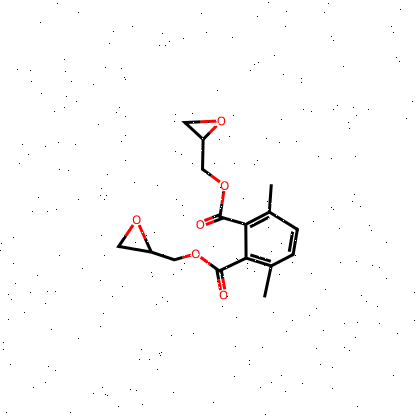 Cc1ccc(C)c(C(=O)OCC2CO2)c1C(=O)OCC1CO1